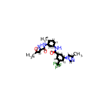 Cc1cn(-c2cc(C(=O)Nc3ccc(C)c(NC(=O)c4cc(C)on4)c3)cc(C(F)(F)F)c2)cn1